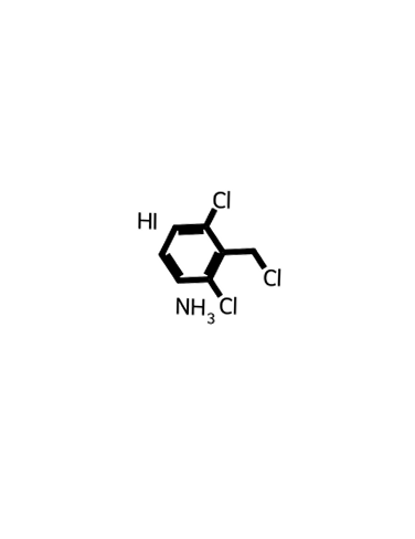 ClCc1c(Cl)cccc1Cl.I.N